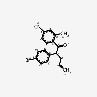 [C-]#[N+]c1ccc(C(=O)C(CC=C)c2ccc(Br)cc2)c(C)c1